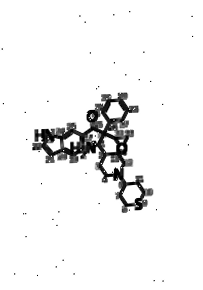 NC(C1CCN(C2CCSCC2)CC1)C(C(=O)c1ccc2cc[nH]c2c1)(c1ccccc1)C1CO1